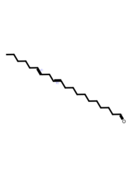 CCCCC/C=C/C/C=C/CCCCCCCCC[C]=O